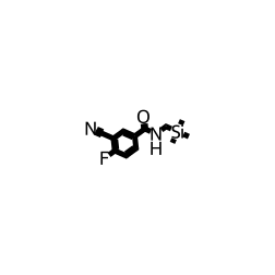 C[Si](C)(C)CNC(=O)c1ccc(F)c(C#N)c1